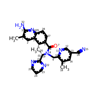 Cc1cc2cc(C(=O)N(Cc3ncc(C#N)cc3C)[C@@H](C)c3ncccn3)ccc2nc1N